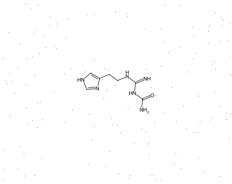 N=C(NCCc1c[nH]cn1)NC(N)=O